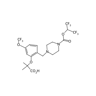 CC(C)(Oc1cc(OC(F)(F)F)ccc1CN1CCN(C(=O)OC(C(F)(F)F)C(F)(F)F)CC1)C(=O)O